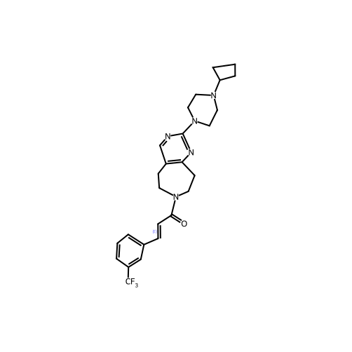 O=C(/C=C/c1cccc(C(F)(F)F)c1)N1CCc2cnc(N3CCN(C4CCC4)CC3)nc2CC1